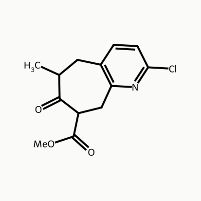 COC(=O)C1Cc2nc(Cl)ccc2CC(C)C1=O